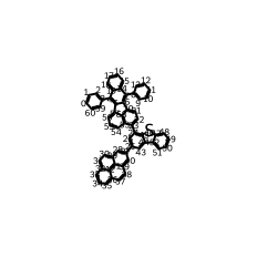 c1ccc(-c2c3c(c(-c4ccccc4)c4ccccc24)-c2ccc(-c4cc(-c5cc6ccc7cccc8ccc(c5)c6c78)cc5c4sc4ccccc45)c4cccc-3c24)cc1